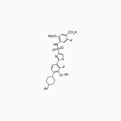 COc1cc(C(=O)O)c(F)cc1NS(=O)(=O)c1csc(-c2ccc(C3CCC(C(C)C)CC3)c(OC(C)C)c2F)n1